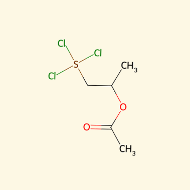 CC(=O)OC(C)CS(Cl)(Cl)Cl